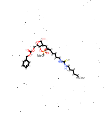 B[C@@H]1O[C@H](COC(=O)OCc2ccccc2)[C@H](OP(=O)(O)OC)C1C/C=C/CCCCNC(=S)NCCCCCCCCCCCCCCC